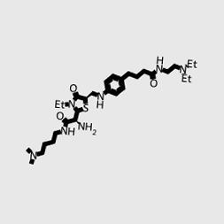 CCN(CC)CCNC(=O)CCCc1ccc(NC[C@H]2SC([C@H](N)C(=O)NCCCCN(C)C)N(CC)C2=O)cc1